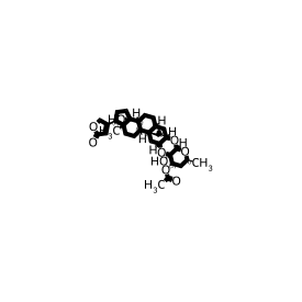 CC(=O)O[C@H]1C[C@@H](C)O[C@H]2O[C@@H]3C[C@@H]4CC[C@@H]5[C@H](CC[C@]6(C)[C@@H](C7=CC(=O)OC7)CC[C@]56O)[C@@]4(C=O)C[C@H]3O[C@]21O